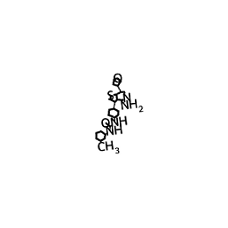 Cc1cccc(NC(=O)Nc2ccc(-c3csc4c(-c5ccoc5)cnc(N)c34)cc2)c1